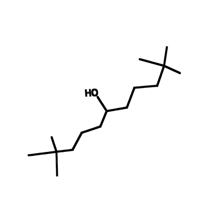 CC(C)(C)CCCC(O)CCCC(C)(C)C